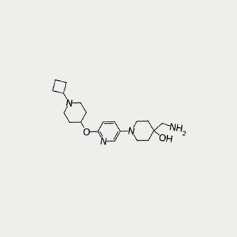 NCC1(O)CCN(c2ccc(OC3CCN(C4CCC4)CC3)nc2)CC1